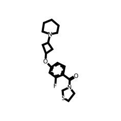 O=C(c1ccc(OC2CC(N3CCCCC3)C2)cc1F)N1CCSC1